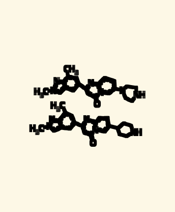 Cc1cc(-c2cc(=O)n3cc(C4CCNCC4)ccc3n2)cc2cn(C)nc12.Cc1cc(-c2cc(=O)n3cc(N4CCNCC4)ccc3n2)cc2cn(C)nc12